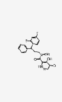 CCCN(CCC(c1ccccc1)c1ccc(F)cc1F)C(=O)c1[nH]ncc(=O)c1O